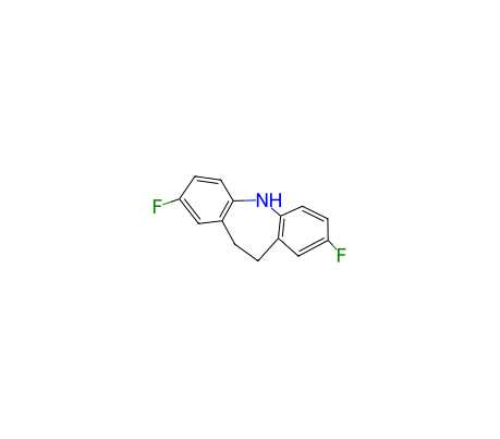 Fc1ccc2c(c1)CCc1cc(F)ccc1N2